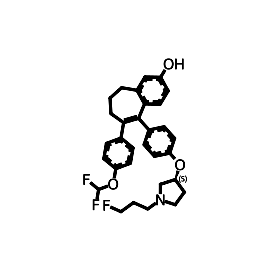 Oc1ccc2c(c1)CCCC(c1ccc(OC(F)F)cc1)=C2c1ccc(O[C@H]2CCN(CCCF)C2)cc1